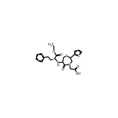 CCOC(=O)[C@H](CCc1ccccc1)NC1CSC(c2cccs2)CN(CC(=O)O)C1=O